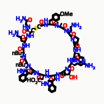 CCCC[C@H]1C(=O)N(C)[C@@H](CCCC)C(=O)NC(CCCN)C(=O)N[C@H](C(=O)NCC(N)=O)CSCC(=O)NC(Cc2ccc(OC)cc2)C(=O)N(C)[C@@H](C)C(=O)N[C@@H](CCN)C(=O)N2CCC[C@H]2C(=O)N[C@@H](Cc2cnc[nH]2)C(=O)N[C@@H](CCCCN)C(=O)N2C[C@H](O)C[C@H]2C(=O)N[C@@H](Cc2c[nH]c3ccccc23)C(=O)N[C@@H](CC(=O)O)C(=O)N[C@@H](Cc2c[nH]c3ccccc23)C(=O)N1C